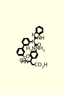 NC(=O)N(c1cccc(-c2cccc(S(=O)(=O)NC(CC(=O)O)c3ccc(N)cc3)c2)c1)c1nc2ccccc2[nH]1